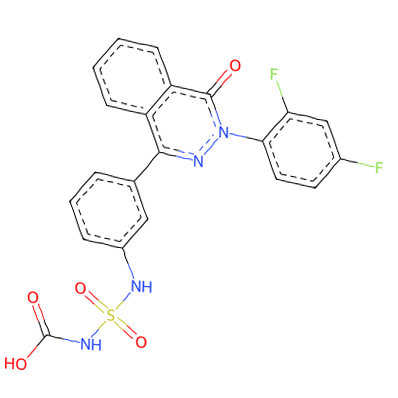 O=C(O)NS(=O)(=O)Nc1cccc(-c2nn(-c3ccc(F)cc3F)c(=O)c3ccccc23)c1